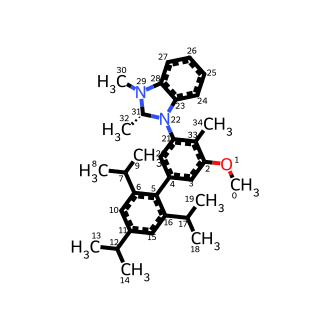 COc1cc(-c2c(C(C)C)cc(C(C)C)cc2C(C)C)cc(N2c3ccccc3N(C)[C@H]2C)c1C